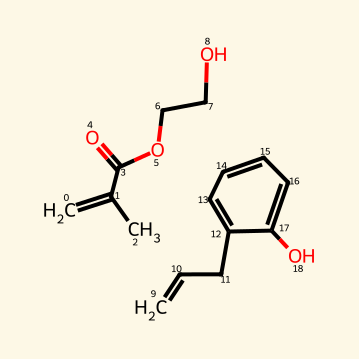 C=C(C)C(=O)OCCO.C=CCc1ccccc1O